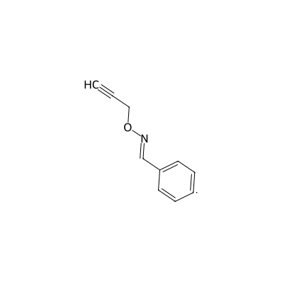 C#CCON=Cc1cc[c]cc1